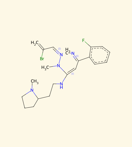 C=C(Br)/C=N\N(C)/C(=C\C(=N/C)c1ccccc1F)NCCC1CCCN1C